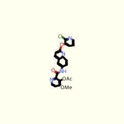 COc1ccnc(C(=O)Nc2ccc3nc(Oc4cccnc4Cl)ccc3c2)c1OC(C)=O